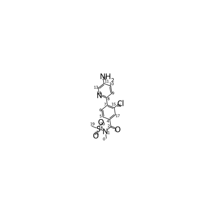 CN(C(=O)c1ccc(-c2ccc(N)cn2)c(Cl)c1)S(C)(=O)=O